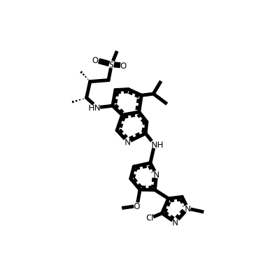 COc1ccc(Nc2cc3c(C(C)C)ccc(N[C@H](C)[C@H](C)CS(C)(=O)=O)c3cn2)nc1-c1cn(C)nc1Cl